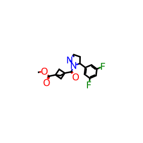 COC(=O)C12CC(C(=O)N3N=CCC3c3cc(F)cc(F)c3)(C1)C2